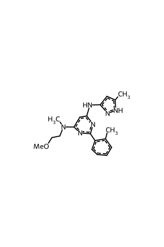 COCCN(C)c1cc(Nc2cc(C)[nH]n2)nc(-c2ccccc2C)n1